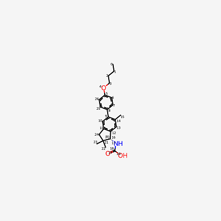 CCCCOc1ccc(-c2cc3c(cc2C)[C@H](NC(=O)O)C(C)(C)C3)cc1